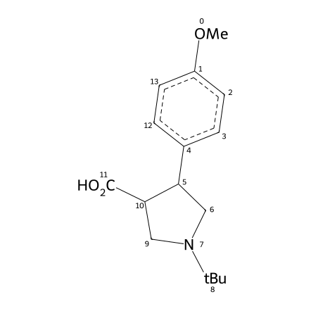 COc1ccc(C2CN(C(C)(C)C)CC2C(=O)O)cc1